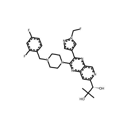 CC(C)(O)[C@@H](O)c1cc2nc(N3CCN(Cc4ccc(F)cc4F)CC3)c(-c3cnn(CF)c3)nc2cn1